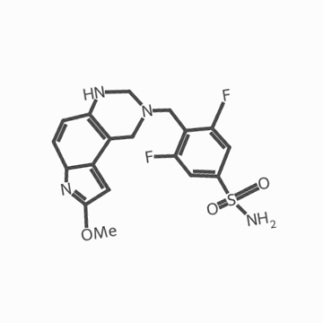 COC1=NC2C=CC3=C(CN(Cc4c(F)cc(S(N)(=O)=O)cc4F)CN3)C2=C1